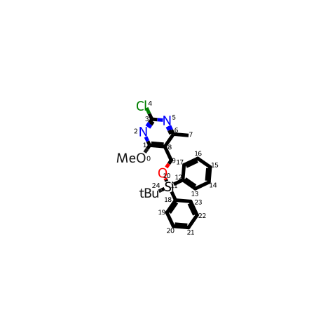 COc1nc(Cl)nc(C)c1CO[Si](c1ccccc1)(c1ccccc1)C(C)(C)C